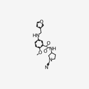 COc1ccc(NCc2ccoc2)cc1S(=O)(=O)NC1CCN(C#N)C1